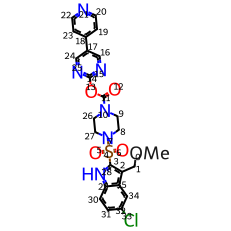 COCc1c(S(=O)(=O)N2CCN(C(=O)Oc3ncc(-c4ccncc4)cn3)CC2)[nH]c2ccc(Cl)cc12